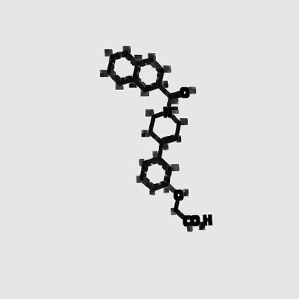 O=C(O)COc1cccc(C2=CCN(C(=O)c3ccc4ccccc4c3)CC2)c1